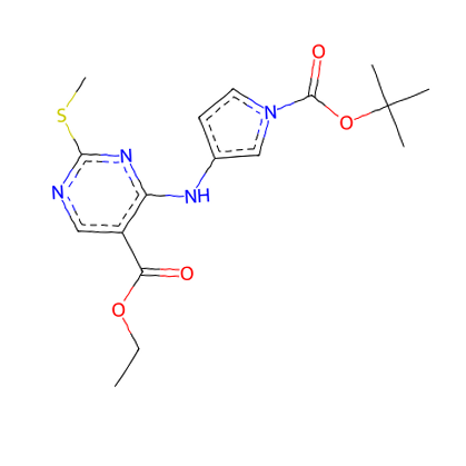 CCOC(=O)c1cnc(SC)nc1Nc1ccn(C(=O)OC(C)(C)C)c1